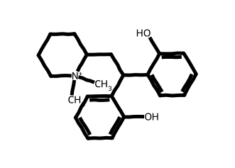 C[N+]1(C)CCCCC1CC(c1ccccc1O)c1ccccc1O